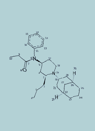 CCC[C@H]1C[C@@H](N(C(=O)CC)c2ccccc2)CCN1[C@H]1C[C@@H]2CCC[C@@H](C2)C1